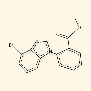 COC(=O)c1ccccc1-n1ccc2c(Br)cccc21